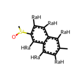 Cc1[c]([RaH])[c]([RaH])c2[c]([RaH])c([S+](C)[O-])[c]([RaH])[c]([RaH])c2[c]1[RaH]